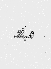 CC(=O)Nc1cc(Cl)ccc1CCC(SCCC(=O)O)c1cccc(OCc2ccc3ccc(Cl)cc3n2)c1